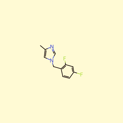 Cc1cn(Cc2ccc(F)cc2F)cn1